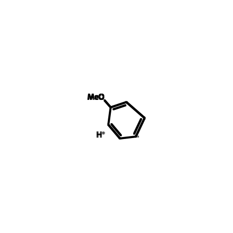 COc1cc[c]cc1.[H+]